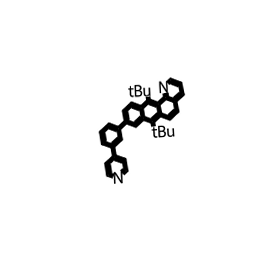 CC(C)(C)c1c2cc(-c3cccc(-c4ccncc4)c3)ccc2c(C(C)(C)C)c2c1ccc1cccnc12